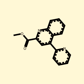 COC(=O)c1cc(-c2ccccn2)c2ccccc2n1